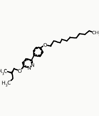 CCCCCCCCCCCOc1ccc(-c2ccc(OCC(C)CC)nn2)cc1